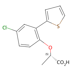 C[C@H](Oc1ccc(Cl)cc1-c1cccs1)C(=O)O